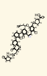 N#CCCOc1cc(/C=C\c2cccc(-c3cccc(-c4ccn5c(=O)c(CNC[C@@H]6CCC(=O)N6)cnc5c4)c3Cl)c2Cl)c(Cl)cc1CN1CC[C@@H](C(=O)O)C1